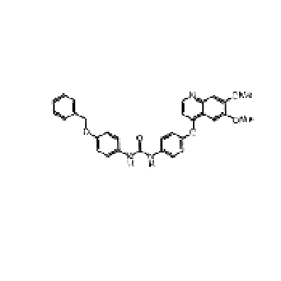 COc1cc2nccc(Oc3ccc(NC(=O)Nc4ccc(OCc5ccccc5)cc4)cc3)c2cc1OC